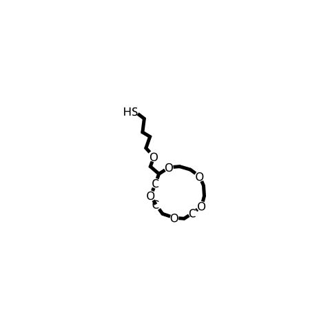 SCCCCOCC1COCCOCCOCCOCCO1